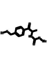 CCSCc1ccc(C(=O)C(C)NC(=O)OC(C)(C)C)cc1